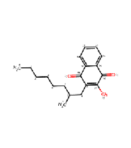 CCCCCCC(C)CC1=C(O)C(=O)c2ccccc2C1=O